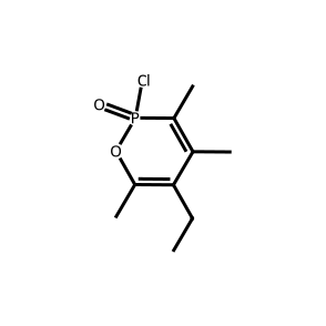 CCC1=C(C)OP(=O)(Cl)C(C)=C1C